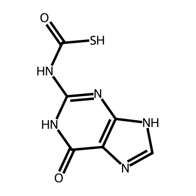 O=C(S)Nc1nc2[nH]cnc2c(=O)[nH]1